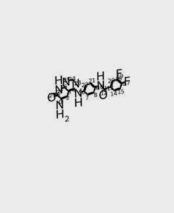 Nc1cc2c(Nc3ccc(NC(=O)c4ccc(F)c(F)c4)cc3)ncnc2[nH]c1=O